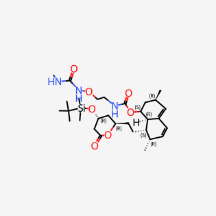 CNC(=O)NOCCNC(=O)O[C@H]1C[C@@H](C)C=C2C=C[C@H](C)[C@H](CC[C@@H]3C[C@@H](O[Si](C)(C)C(C)(C)C)CC(=O)O3)[C@H]21